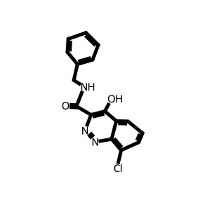 O=C(NCc1ccccc1)c1nnc2c(Cl)cccc2c1O